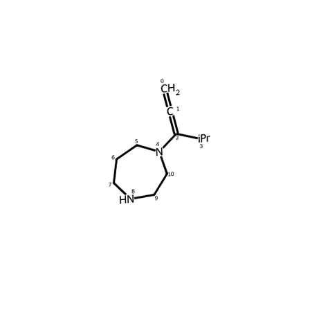 C=C=C(C(C)C)N1CCCNCC1